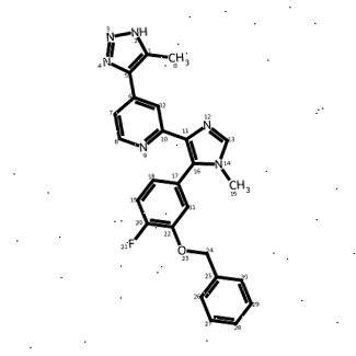 Cc1[nH]nnc1-c1ccnc(-c2ncn(C)c2-c2ccc(F)c(OCc3ccccc3)c2)c1